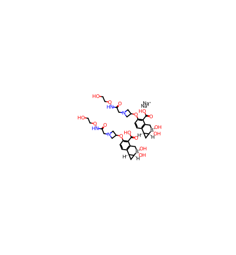 O=C(CN1CC(Oc2ccc3c(c2C(=O)O)C[B-](O)(O)[C@H]2C[C@@H]32)C1)NOCCO.O=C(CN1CC(Oc2ccc3c(c2C(=O)O)C[B-](O)(O)[C@H]2C[C@@H]32)C1)NOCCO.[Na+].[Na+]